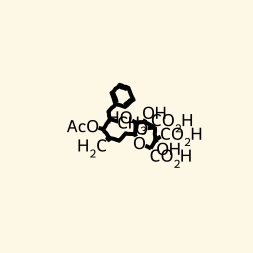 C=C(CCC12OC(C(=O)O)C(O)(C(=O)O)C(C(=O)O)(O1)C(O)C2O)C(OC(C)=O)C(C)Cc1ccccc1